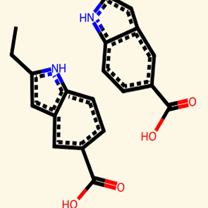 CCc1cc2cc(C(=O)O)ccc2[nH]1.O=C(O)c1ccc2[nH]ccc2c1